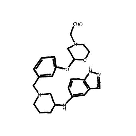 O=CCN1CCOC(Oc2cccc(CN3CCCC(Nc4ccc5[nH]ncc5c4)C3)c2)C1